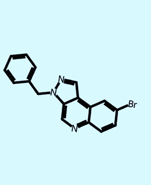 Brc1ccc2ncc3c(cnn3Cc3ccccc3)c2c1